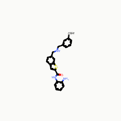 COc1cccc(CNCc2ccc3cc(C(=O)Nc4ccccc4N)sc3c2)c1